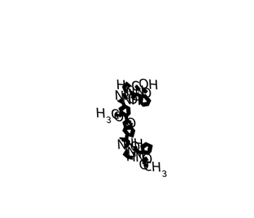 COC(=O)N[C@@H](C(=O)N1CCC[C@H]1c1ncc(-c2ccc3oc(-c4ccc(-c5cnc([C@@H]6CCCN6C(=O)[C@@H](c6ccccc6)N(C)C(=O)O)[nH]5)cc4OC)cc3c2)[nH]1)c1ccccc1